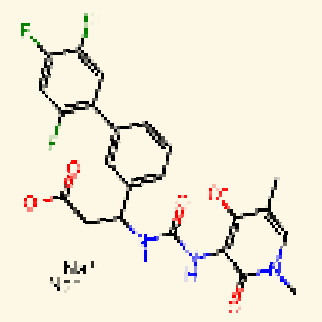 Cc1cn(C)c(=O)c(NC(=O)NC(CC(=O)[O-])c2cccc(-c3cc(Cl)c(F)cc3F)c2)c1[O-].[Na+].[Na+]